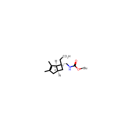 CC1=C(C)[C@@H]2[C@H](C1)C[C@]2(CNC(=O)OC(C)(C)C)CC(=O)O